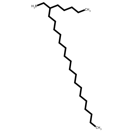 BCC(CCCCC)CCCCCCCCCCCCCCCCCC